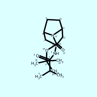 CC(C)C(=O)NN1CC2CCC(C1)N2C(=O)OC(C)(C)C